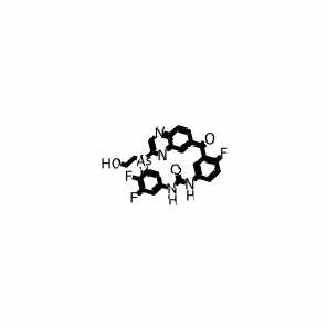 O=C(Nc1ccc(F)c(F)c1)Nc1ccc(F)c(C(=O)c2ccc3ncc([AsH]CCO)nc3c2)c1